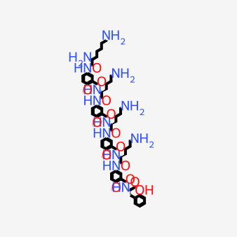 COc1ccc(NC(=O)[C@H](CCCCN)NC(=O)c2cc(NC(=O)[C@H](CCCCN)NC(=O)c3cc(NC(=O)[C@H](CCCCN)NC(=O)c4cc(NC(=O)[C@@H](N)CCCCCN)ccc4OC)ccc3OC)ccc2OC)cc1C(=O)N[C@@H](Cc1ccccc1)C(=O)O